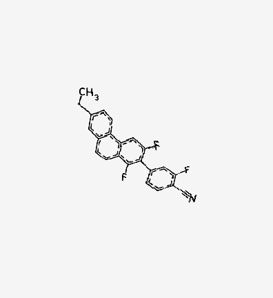 CCc1ccc2c(ccc3c(F)c(-c4ccc(C#N)c(F)c4)c(F)cc32)c1